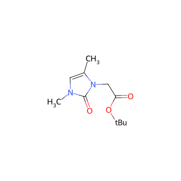 Cc1cn(C)c(=O)n1CC(=O)OC(C)(C)C